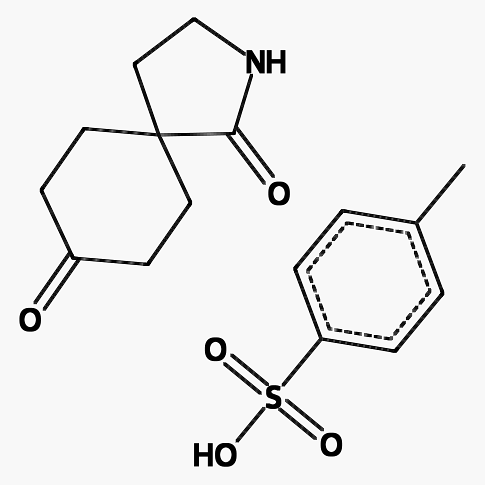 Cc1ccc(S(=O)(=O)O)cc1.O=C1CCC2(CCNC2=O)CC1